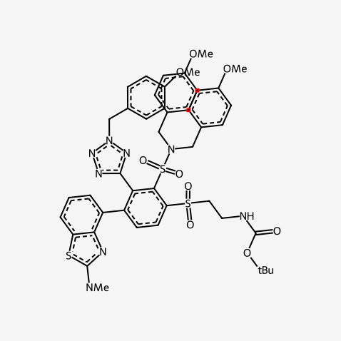 CNc1nc2c(-c3ccc(S(=O)(=O)CCNC(=O)OC(C)(C)C)c(S(=O)(=O)N(Cc4ccc(OC)cc4)Cc4ccc(OC)cc4)c3-c3nnn(Cc4ccc(OC)cc4)n3)cccc2s1